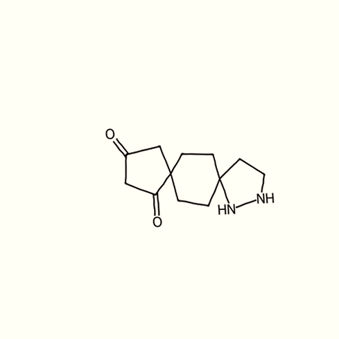 O=C1CC(=O)C2(CCC3(CCNN3)CC2)C1